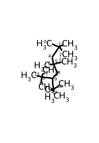 CC(C)(C)CC(C)(C)CC(C(C)(C)C)C(C)(C)C